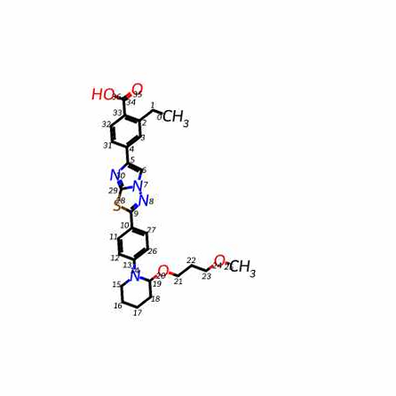 CCc1cc(-c2cn3nc(-c4ccc(N5CCCCC5OCCCOC)cc4)sc3n2)ccc1C(=O)O